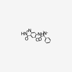 CN(C)C(C(=O)Nc1cc2nc[nH]c(=O)c2cc1Cl)c1ccccc1